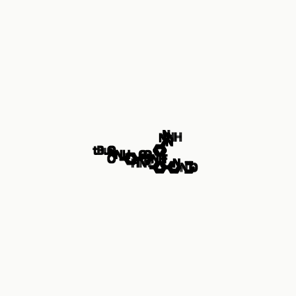 CC(C)(C)OC(=O)NCC1CCC(C(=O)N[C@@H](Cc2ccc(-c3ccc(N4CCOCC4)nc3)c(F)c2)C(=O)Nc2ccc(-c3nn[nH]n3)cc2)CC1